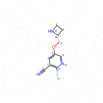 N#Cc1cc(OC[C@H]2CCN2)cnc1F